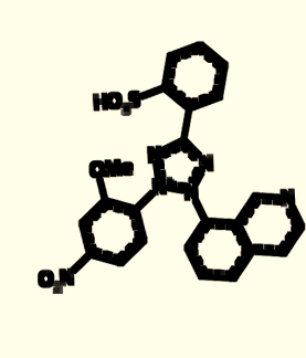 COc1cc([N+](=O)[O-])ccc1-[n+]1nc(-c2ccccc2S(=O)(=O)O)nn1-c1cccc2ccncc12